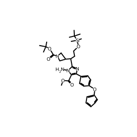 COC(=O)c1c(-c2ccc(Oc3ccccc3)cc2)nc(C(CCO[Si](C)(C)C(C)(C)C)C2CN(C(=O)OC(C)(C)C)C2)n1N